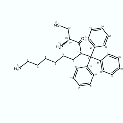 NCCCCCCN(C(=O)[C@@H](N)CS)C(c1ccccc1)(c1ccccc1)c1ccccc1